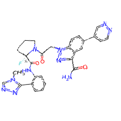 Cn1cnnc1-c1ccccc1NC(=O)[C@@]1(F)CCCN1C(=O)Cn1nc(C(N)=O)c2cc(-c3ccnnc3)ccc21